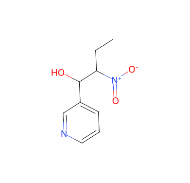 CCC(C(O)c1cccnc1)[N+](=O)[O-]